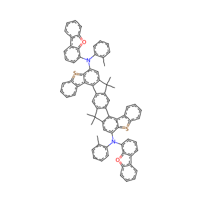 Cc1ccccc1N(c1cccc2c1oc1ccccc12)c1cc2c(c3c1sc1ccccc13)-c1cc3c(cc1C2(C)C)-c1c(cc(N(c2ccccc2C)c2cccc4c2oc2ccccc24)c2sc4ccccc4c12)C3(C)C